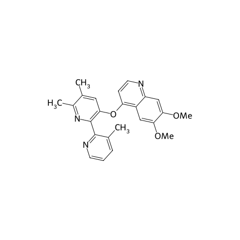 COc1cc2nccc(Oc3cc(C)c(C)nc3-c3ncccc3C)c2cc1OC